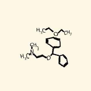 CCOCC.CN(C)CCOC(c1ccccc1)c1ccccc1